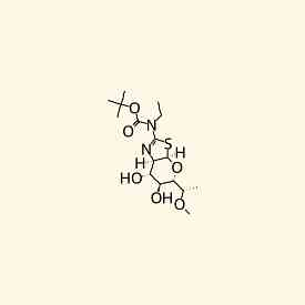 CCN(C(=O)OC(C)(C)C)C1=N[C@@H]2[C@@H](O)[C@H](O)[C@@H]([C@H](C)OC)O[C@@H]2S1